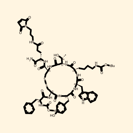 C[C@@H](O)[C@@H]1NC(=O)[C@H](CCCCNC(=O)OC(C)(C)C)NC(=O)[C@@H](Cc2c[nH]c3ccccc23)NC(=O)[C@H](Cc2ccc(O)cc2)NC(=O)[C@@H](NC(=O)[C@@H](Cc2ccccc2)NC(=O)OC(C)(C)C)CSSC[C@@H](C(=O)N[C@@H](CCC(=O)NCCCN2C(=O)C=CC2=O)C(N)=O)NC1=O